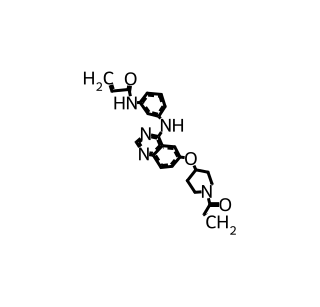 C=CC(=O)Nc1cccc(Nc2ncnc3ccc(OC4CCN(C(=O)C=C)CC4)cc23)c1